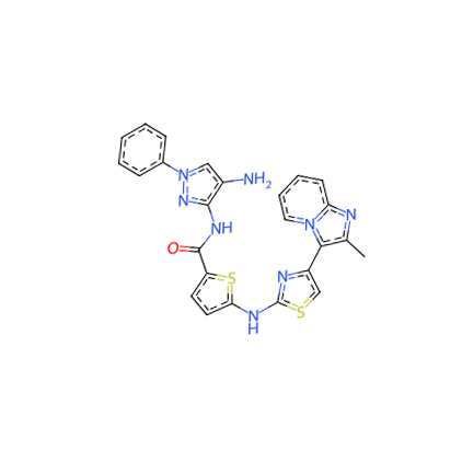 Cc1nc2ccccn2c1-c1csc(Nc2ccc(C(=O)Nc3nn(-c4ccccc4)cc3N)s2)n1